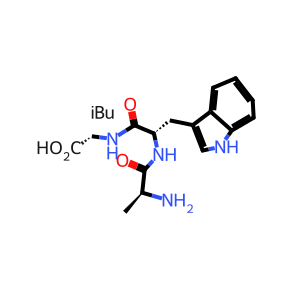 CC[C@H](C)[C@H](NC(=O)[C@H](Cc1c[nH]c2ccccc12)NC(=O)[C@H](C)N)C(=O)O